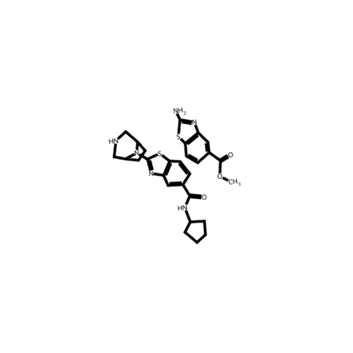 COC(=O)c1ccc2sc(N)nc2c1.O=C(NC1CCCC1)c1ccc2sc(N3C4CCC3CNC4)nc2c1